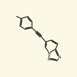 Cc1ccc(C#Cc2ccc3ncnn3c2)cc1